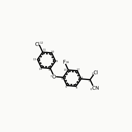 N#CC(Cl)c1ccc(Oc2ccc(Cl)cc2)c(F)c1